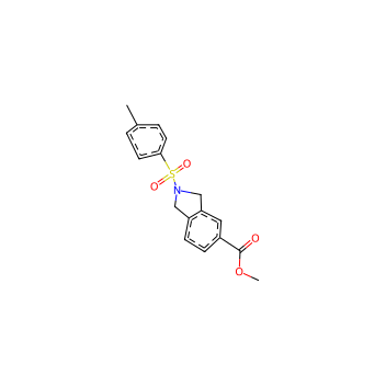 COC(=O)c1ccc2c(c1)CN(S(=O)(=O)c1ccc(C)cc1)C2